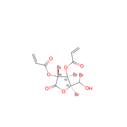 C=CC(=O)O[C@]1(Br)[C@@](Br)(OC(=O)C=C)C(=O)O[C@]1(Br)C(O)Br